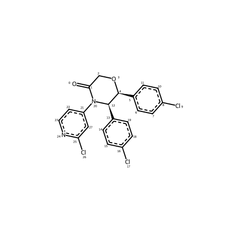 O=C1CO[C@@H](c2ccc(Cl)cc2)[C@@H](c2ccc(Cl)cc2)N1c1ccnc(Cl)c1